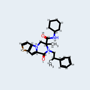 CC(CN1C(=O)c2cc3sccc3n2CC1(C)C(=O)NC1CCCCC1)c1ccccc1